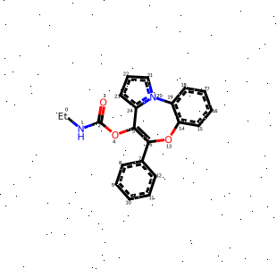 CCNC(=O)OC1=C(c2ccccc2)Oc2ccccc2-n2cccc21